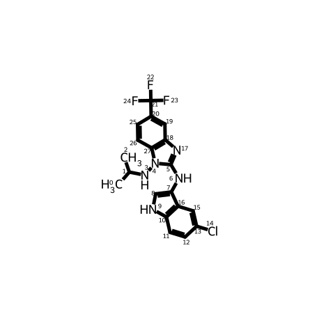 CC(C)Nn1c(Nc2c[nH]c3ccc(Cl)cc23)nc2cc(C(F)(F)F)ccc21